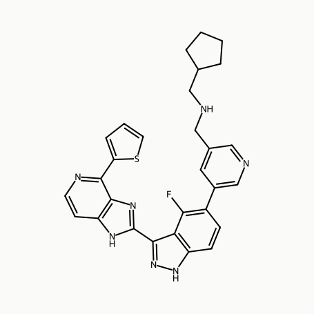 Fc1c(-c2cncc(CNCC3CCCC3)c2)ccc2[nH]nc(-c3nc4c(-c5cccs5)nccc4[nH]3)c12